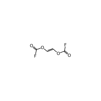 O=C(F)OC=COC(=O)F